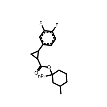 CCCC1(OC(=O)C2CC2c2ccc(F)c(F)c2)CCCC(C)C1